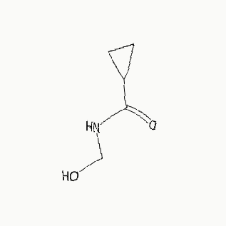 O=C(NCO)C1CC1